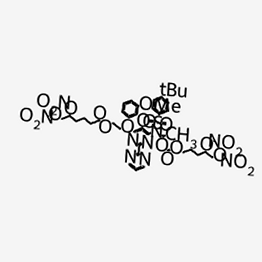 COc1ccccc1Oc1c(OCCOC(=O)CCCC(CO[N+](=O)[O-])O[N+](=O)[O-])nc(-c2ncccn2)nc1N(C(C)OC(=O)OCCCC(CO[N+](=O)[O-])O[N+](=O)[O-])S(=O)(=O)c1ccc(C(C)(C)C)cc1